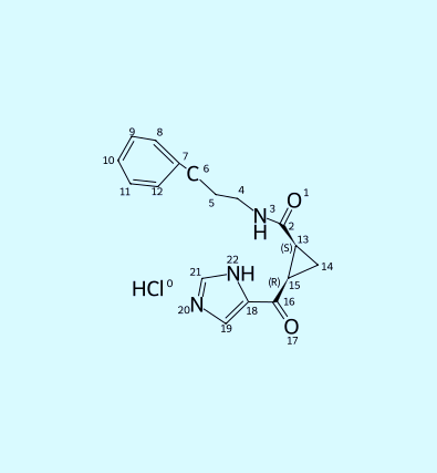 Cl.O=C(NCCCc1ccccc1)[C@H]1C[C@H]1C(=O)c1cnc[nH]1